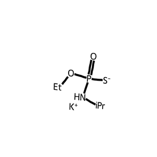 CCOP(=O)([S-])NC(C)C.[K+]